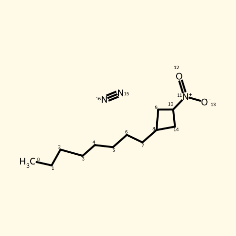 CCCCCCCCC1CC([N+](=O)[O-])C1.N#N